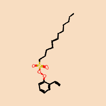 C=Cc1ccccc1OOS(=O)(=O)CCCCCCCCCCCC